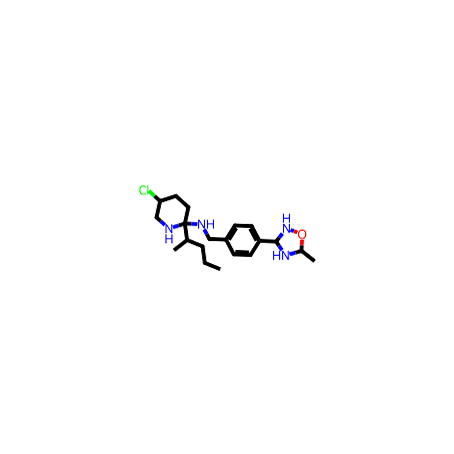 CCCC(C)C1(NCc2ccc(C3NOC(C)N3)cc2)CCC(Cl)CN1